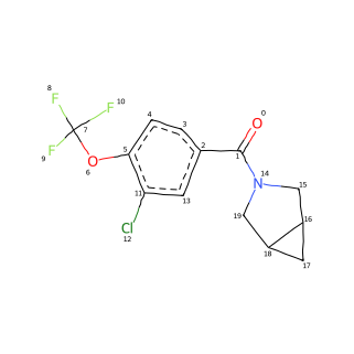 O=C(c1ccc(OC(F)(F)F)c(Cl)c1)N1CC2CC2C1